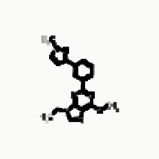 CCn1cnc2c(OC)nc(-c3cccc(-c4ccn(C)n4)c3)nc21